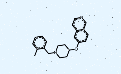 Cc1ccccc1CN1CCC(Oc2ccc3cnccc3c2)CC1